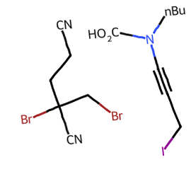 CCCCN(C#CCI)C(=O)O.N#CCCC(Br)(C#N)CBr